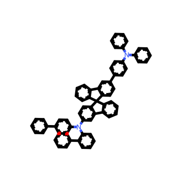 c1ccc(-c2ccc(N(c3ccc4c(c3)-c3ccccc3C43c4ccccc4-c4cc(-c5ccc(N(c6ccccc6)c6ccccc6)cc5)ccc43)c3ccccc3-c3ccccc3)cc2)cc1